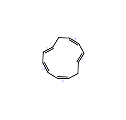 [C]1=C\C/C=C\C=C\C\C=C/C=C\1